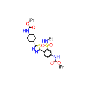 CCNS(=O)(=O)c1cc(NC(=O)OC(C)C)ccc1-c1nnc([C@H]2CC[C@H](NC(=O)OC(C)C)CC2)s1